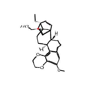 CC[C@@]12C=CC3(C[C@H]1CO)[C@@H]1CCc4cc(OC)c5c(c4[C@H]1CC[C@@]32C)OCCO5